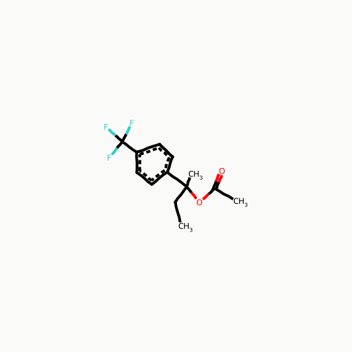 CCC(C)(OC(C)=O)c1ccc(C(F)(F)F)cc1